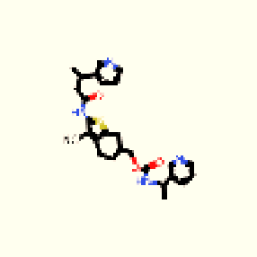 CC(CC(=O)Nc1sc2c(c1C#N)CCC(COC(=O)NC(C)c1cccnc1)C2)c1cccnc1